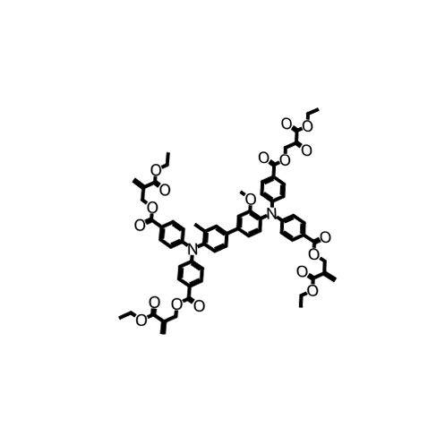 C=C(COC(=O)c1ccc(N(c2ccc(C(=O)OCC(=C)C(=O)OCC)cc2)c2ccc(-c3ccc(N(c4ccc(C(=O)OCC(=C)C(=O)OCC)cc4)c4ccc(C(=O)OCC(=O)C(=O)OCC)cc4)c(OC)c3)cc2C)cc1)C(=O)OCC